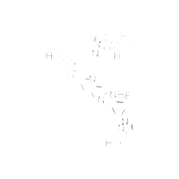 CCOC(=O)C(c1ccc2cnc(Nc3ccc(-n4ccc(CO)n4)cc3F)cc2n1)C1CCN(C(=O)OC(C)(C)C)CC1